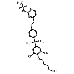 CC(C)(c1ccc(OCc2ccnc(NS(C)(=O)=O)n2)cc1)c1cc(Cl)c(OCCCCO)c(C#N)c1